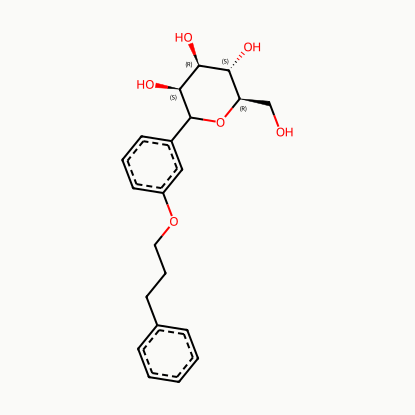 OC[C@H]1OC(c2cccc(OCCCc3ccccc3)c2)[C@@H](O)[C@@H](O)[C@@H]1O